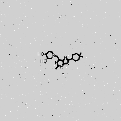 Cc1nc(CN2CC[C@@H](O)[C@@H](O)C2)c2nc(C3CCC(C)(C)CC3)sc2n1